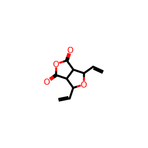 C=CC1OC(C=C)C2C(=O)OC(=O)C12